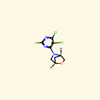 Clc1nc(Cl)c(Cl)c(N2C[C@@H]3C[C@H]2CO3)n1